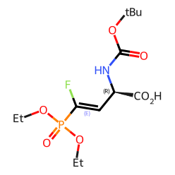 CCOP(=O)(OCC)/C(F)=C/[C@@H](NC(=O)OC(C)(C)C)C(=O)O